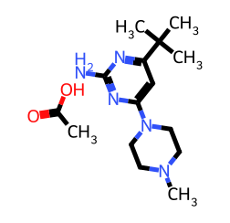 CC(=O)O.CN1CCN(c2cc(C(C)(C)C)nc(N)n2)CC1